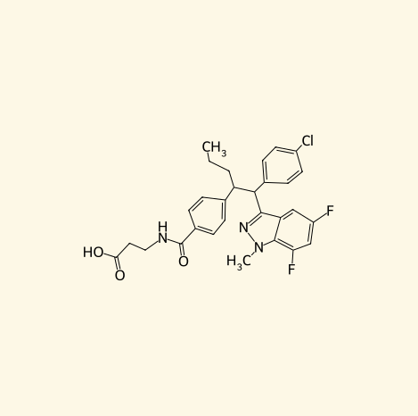 CCCC(c1ccc(C(=O)NCCC(=O)O)cc1)C(c1ccc(Cl)cc1)c1nn(C)c2c(F)cc(F)cc12